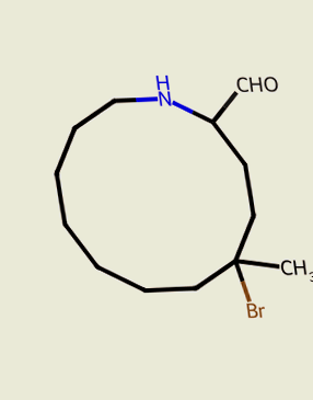 CC1(Br)CCCCCCCNC(C=O)CC1